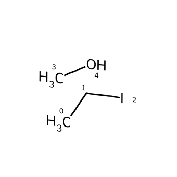 CCI.CO